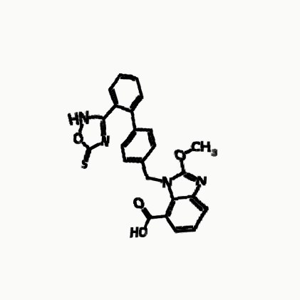 COc1nc2cccc(C(=O)O)c2n1Cc1ccc(-c2ccccc2-c2nc(=S)o[nH]2)cc1